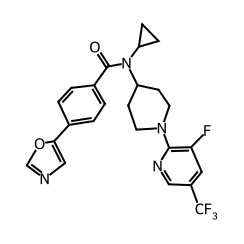 O=C(c1ccc(-c2cnco2)cc1)N(C1CC1)C1CCN(c2ncc(C(F)(F)F)cc2F)CC1